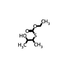 CCOC(=O)SC(C)C(C)O